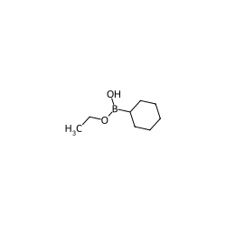 CCOB(O)C1CCCCC1